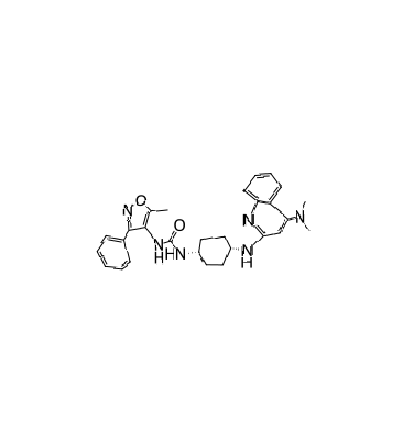 Cc1onc(-c2ccccc2)c1NC(=O)N[C@H]1CC[C@@H](Nc2cc(N(C)C)c3ccccc3n2)CC1